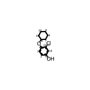 Oc1ccc(OC2CCCCC2)c(Cl)c1